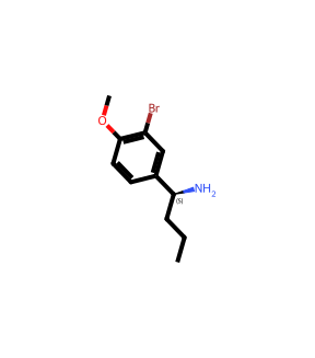 CCC[C@H](N)c1ccc(OC)c(Br)c1